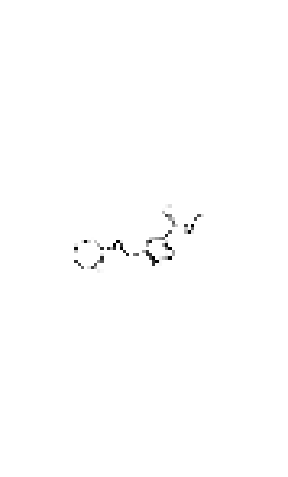 CCOC(=O)c1cc(COC2CCCCO2)no1